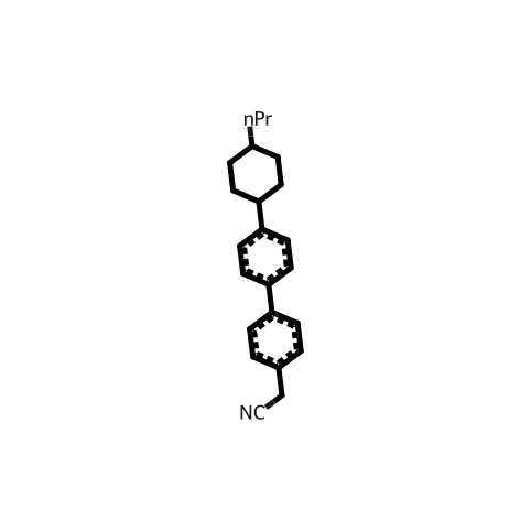 CCCC1CCC(c2ccc(-c3ccc(CC#N)cc3)cc2)CC1